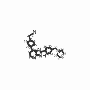 N#CCc1ccc(-c2ccnc3[nH]c(-c4ccc(CN5CCOCC5)cc4)nc23)cc1